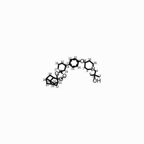 CC(C)(O)CN1CCC(Oc2ccc([C@@H]3CCC[C@]4(C3)OOC3(O4)C4CC5CC(C4)CC3C5)cc2)CC1